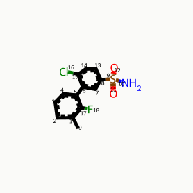 Cc1cccc(-c2cc(S(N)(=O)=O)ccc2Cl)c1F